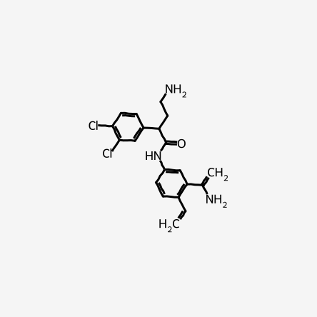 C=Cc1ccc(NC(=O)C(CCN)c2ccc(Cl)c(Cl)c2)cc1C(=C)N